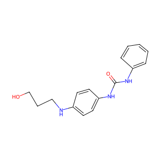 O=C(Nc1ccccc1)Nc1ccc(NCCCO)cc1